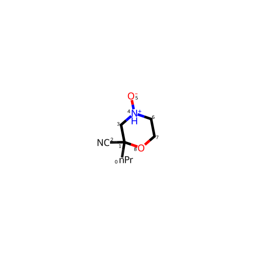 CCCC1(C#N)C[NH+]([O-])CCO1